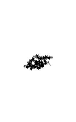 CC(C)C[C@H](NC(=O)[C@H](Cc1c[nH]c2ccccc12)NC(=O)[C@H](C)NC(=O)[C@@H](NC(=O)[C@H](Cc1ccccc1)NC(=O)[C@H](CC(=O)O)NC(=O)[C@H](CCCNC(=N)N)NC(=O)[C@H](C)NC(=O)[C@H](CCCNC(=N)N)NC(=O)[C@@H](N)CCC(=O)O)C(C)C)C(=O)N[C@@H](CCC(=O)O)C(=O)N[C@@H](C)C(=O)NCC(=O)NCC(=O)O